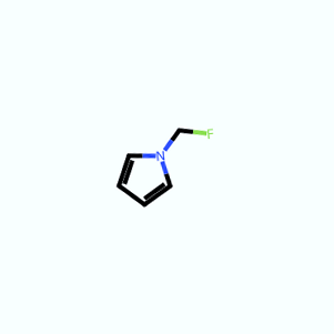 FCn1cccc1